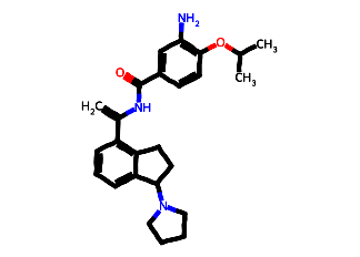 C=C(NC(=O)c1ccc(OC(C)C)c(N)c1)c1cccc2c1CCC2N1CCCC1